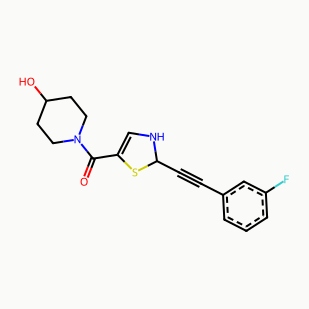 O=C(C1=CNC(C#Cc2cccc(F)c2)S1)N1CCC(O)CC1